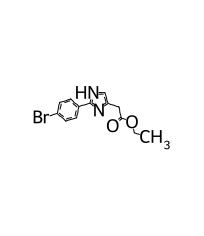 CCOC(=O)Cc1c[nH]c(-c2ccc(Br)cc2)n1